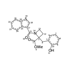 COC(=O)C1(Cc2ccccc2O)CCN1C(=O)c1csc2ccccc12